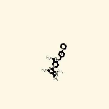 Cc1nc(N2CCc3c(c(C)nn3CC34CCC(N5CCCCC5)(CC3)CC4)C2)c2c(n1)c(C)nn2C